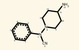 N#CN(c1ccccc1)N1CCC(N)CC1